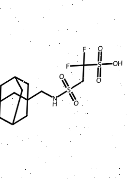 O=S(=O)(CC(F)(F)S(=O)(=O)O)NCC12CC3CC(CC(C3)C1)C2